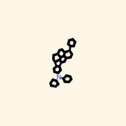 c1ccc(-c2ccc3cc4c5c(ccc6ccc2c3c65)-c2ccc(N(c3ccccc3)c3ccccc3)cc2-4)cc1